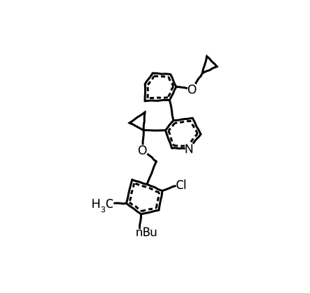 [CH2]CCCc1cc(Cl)c(COC2(c3cnccc3-c3ccccc3OC3CC3)CC2)cc1C